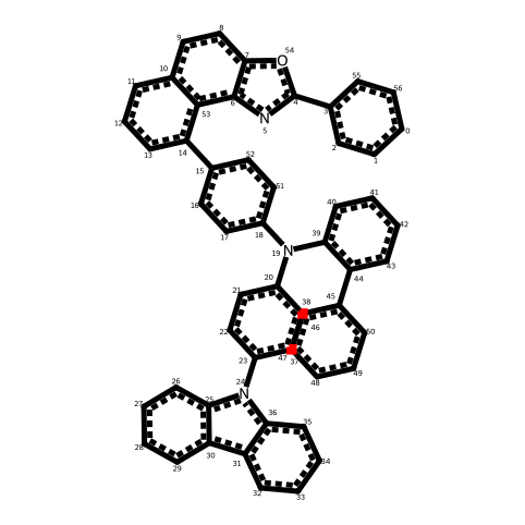 c1ccc(-c2nc3c(ccc4cccc(-c5ccc(N(c6ccc(-n7c8ccccc8c8ccccc87)cc6)c6ccccc6-c6ccccc6)cc5)c43)o2)cc1